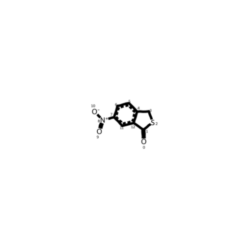 O=C1SCc2ccc([N+](=O)[O-])cc21